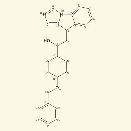 OC(CC1c2ccccc2-n2cncc21)C1CCC(OCc2ccccc2)CC1